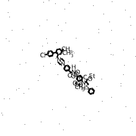 CCOC(C)C(CSc1ccccc1)Nc1ccc(S(=O)(=O)NC(=O)c2ccc(N3CCN(CC4=C(c5ccc(Cl)cc5)CCC(C)(C)C4)CC3)cc2)cc1S(=O)(=O)C(F)(F)F